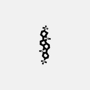 Cn1c2cc([Si](C)(C)C)ccc2c2ccc3c(ccc4c5ccc([Si](C)(C)C)cc5n(C)c43)c21